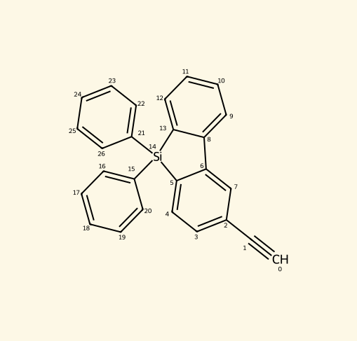 C#Cc1ccc2c(c1)-c1ccccc1[Si]2(c1ccccc1)c1ccccc1